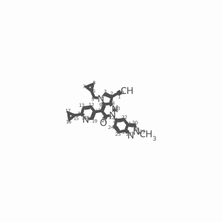 C#Cc1cn(CC2CC2)c2c(-c3ccc(C4CC4)nc3)c(=O)n(-c3ccc4nn(C)cc4c3)nc12